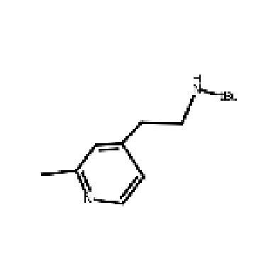 Cc1cc(CCNC(C)(C)C)ccn1